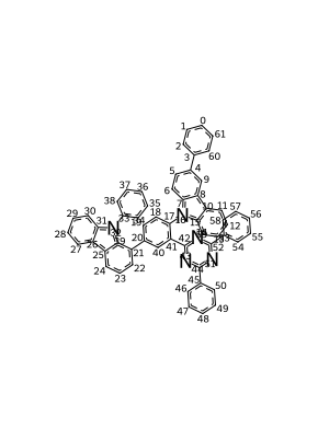 c1ccc(-c2ccc3c(c2)c2ccccc2n3-c2ccc(-c3cccc4c5ccccc5n(-c5ccccc5)c34)cc2-c2nc(-c3ccccc3)nc(-c3ccccc3)n2)cc1